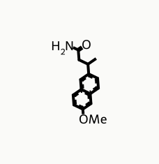 COc1ccc2cc(C(C)CC(N)=O)ccc2c1